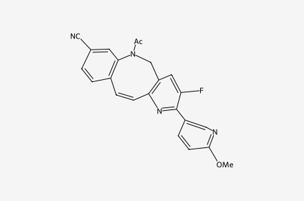 COc1ccc(-c2nc3c(cc2F)CN(C(C)=O)c2cc(C#N)ccc2C=C3)cn1